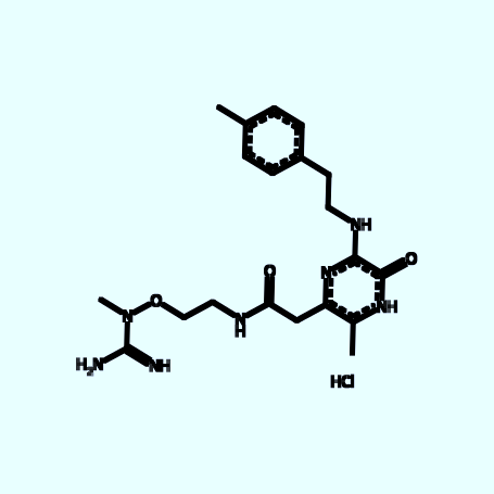 Cc1ccc(CCNc2nc(CC(=O)NCCON(C)C(=N)N)c(C)[nH]c2=O)cc1.Cl